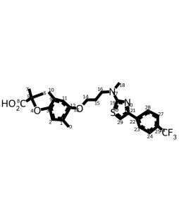 Cc1cc(OC(C)(C)C(=O)O)c(C)cc1OCCCN(C)c1nc(-c2ccc(C(F)(F)F)cc2)cs1